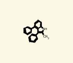 Cc1[nH]c2cccc(-c3ccccc3)c2c1-c1ccccc1